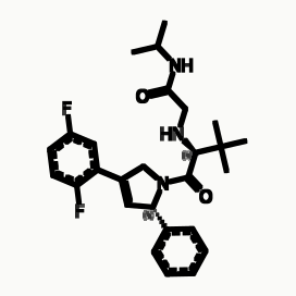 CC(C)NC(=O)CN[C@H](C(=O)N1CC(c2cc(F)ccc2F)=C[C@H]1c1ccccc1)C(C)(C)C